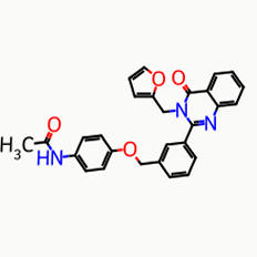 CC(=O)Nc1ccc(OCc2cccc(-c3nc4ccccc4c(=O)n3Cc3ccco3)c2)cc1